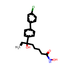 C=CC(O)(CCCCC(=O)NO)c1ccc(-c2ccc(Cl)cc2)cc1